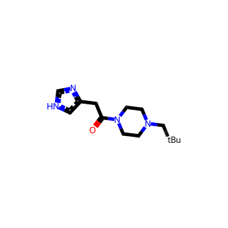 CC(C)(C)CN1CCN(C(=O)Cc2c[nH]cn2)CC1